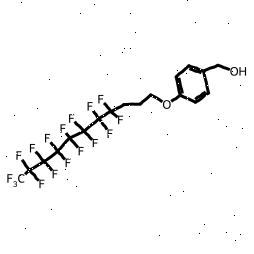 OCc1ccc(OCCCC(F)(F)C(F)(F)C(F)(F)C(F)(F)C(F)(F)C(F)(F)C(F)(F)C(F)(F)F)cc1